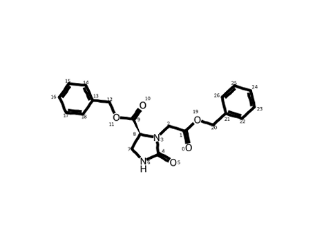 O=C(CN1C(=O)NC[C@H]1C(=O)OCc1ccccc1)OCc1ccccc1